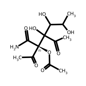 CC(=O)O[C@@](C(C)=O)(C(N)=O)C(O)(C(C)=O)C(O)C(C)O